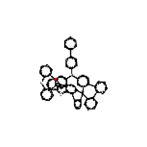 c1ccc(-c2ccc(N(c3ccc4c(c3)-c3ccccc3Oc3ccccc3-4)c3ccc4c(c3)C3(c5ccccc5-c5ccccc5-4)c4ccccc4-c4c3ccc3c4oc4ccccc43)cc2)cc1